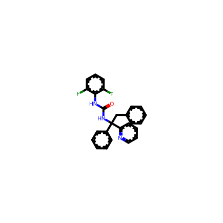 O=C(Nc1c(F)cccc1F)NC(Cc1ccccc1)(c1ccccc1)c1ccccn1